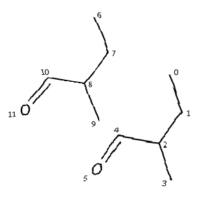 CCC(C)C=O.CCC(C)C=O